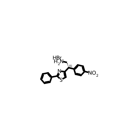 Br.NC[C@H](c1ccc([N+](=O)[O-])cc1)c1csc(-c2ccccc2)n1